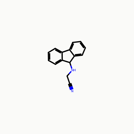 N#CCNC1c2ccccc2-c2ccccc21